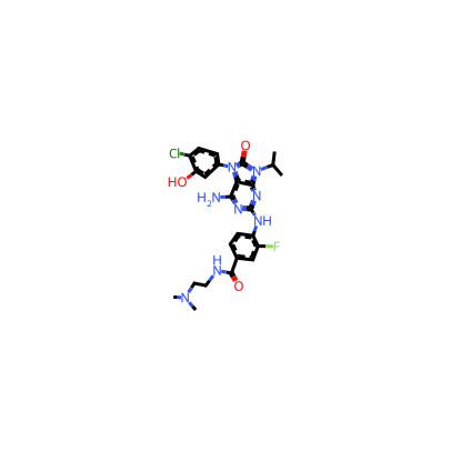 CC(C)n1c(=O)n(-c2ccc(Cl)c(O)c2)c2c(N)nc(Nc3ccc(C(=O)NCCN(C)C)cc3F)nc21